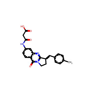 Cc1ccc(/C=C2\CCn3c2nc2cc(NC(=O)CC(=O)O)ccc2c3=O)cc1